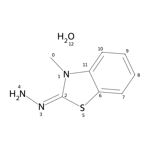 Cn1c(=NN)sc2ccccc21.O